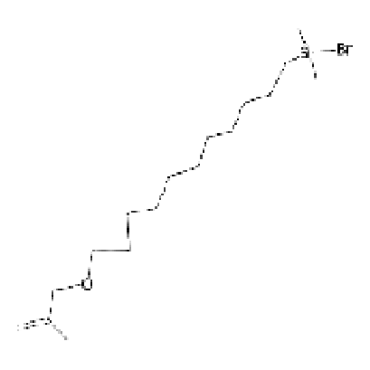 C=C(C)COCCCCCCCCCCC[Si](C)(C)Br